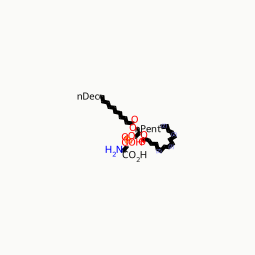 CCCCC/C=C\C/C=C\C/C=C\C/C=C\CCCC(=O)O[C@H](COC(=O)CCCCCCCCCCCCCCCCCCCC)COP(=O)(O)OC[C@H](N)C(=O)O